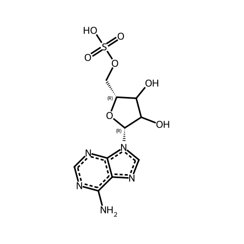 Nc1ncnc2c1ncn2[C@@H]1O[C@H](COS(=O)(=O)O)C(O)C1O